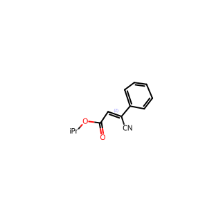 CC(C)OC(=O)/C=C(\C#N)c1ccccc1